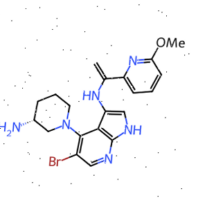 C=C(Nc1c[nH]c2ncc(Br)c(N3CCC[C@@H](N)C3)c12)c1cccc(OC)n1